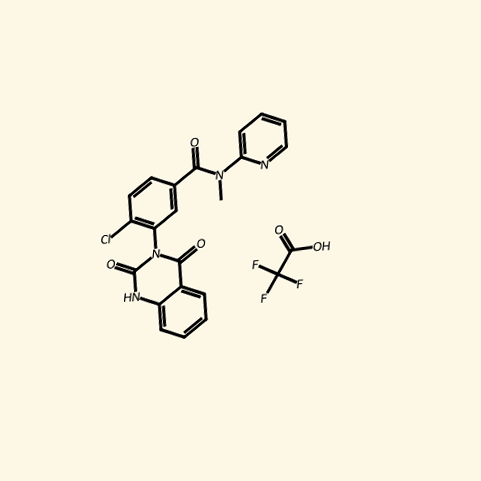 CN(C(=O)c1ccc(Cl)c(-n2c(=O)[nH]c3ccccc3c2=O)c1)c1ccccn1.O=C(O)C(F)(F)F